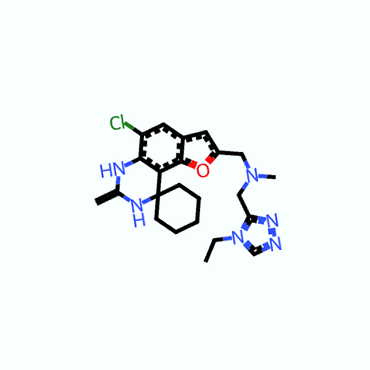 C=C1Nc2c(Cl)cc3cc(CN(C)Cc4nncn4CC)oc3c2C2(CCCCC2)N1